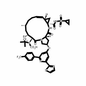 CC[C@@H]1C[C@H](C)CCC=C[C@@H]2C[C@@]2(C(=O)NS(=O)(=O)C2CC2)NC(=O)[C@@H]2C[C@@H](Oc3cc(-c4ccc(C(F)(F)F)cc4)nc(-c4nccs4)c3)CN2C(=O)[C@H]1N(C(=O)O)C(C)(C)C(F)(F)F